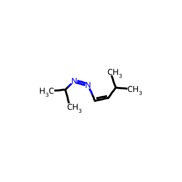 CC(C)/C=C\N=N/C(C)C